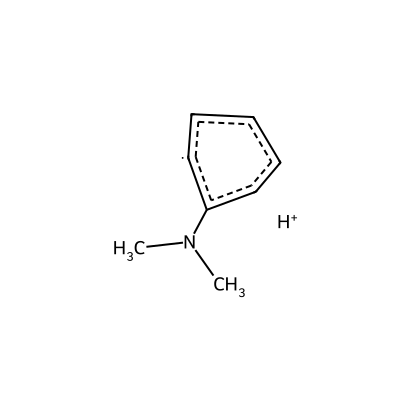 CN(C)c1[c]cccc1.[H+]